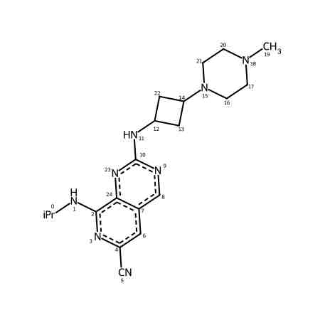 CC(C)Nc1nc(C#N)cc2cnc(NC3CC(N4CCN(C)CC4)C3)nc12